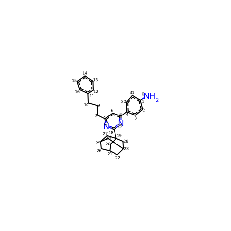 Nc1ccc(-c2cc(CCCc3ccccc3)nc(C34CC5CC(CC(C5)C3)C4)n2)cc1